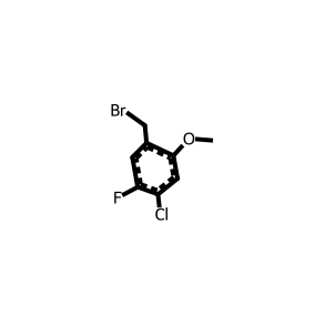 COc1cc(Cl)c(F)cc1CBr